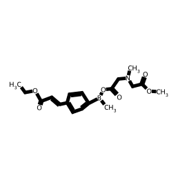 CCOC(=O)/C=C/c1ccc(B(C)OC(=O)CN(C)CC(=O)OC)cc1